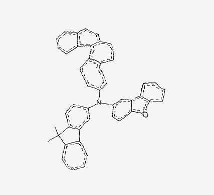 CC1(C)c2ccccc2-c2cc(N(c3ccc4c(ccc5ccc6ccccc6c54)c3)c3ccc4oc5ccccc5c4c3)ccc21